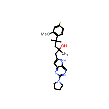 COc1cc(F)ccc1C(C)(C)CC(O)(Cc1cc2nc(N3CCCC3)ncc2[nH]1)C(F)(F)F